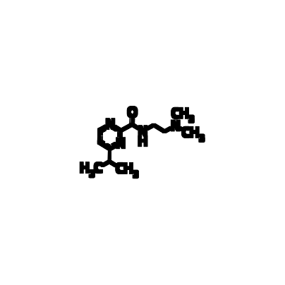 CC(C)c1ccnc(C(=O)NCCN(C)C)n1